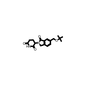 CC(C)(C)OCc1ccc2c(c1)C(=O)N(C1CCC(=O)NC1=O)C2